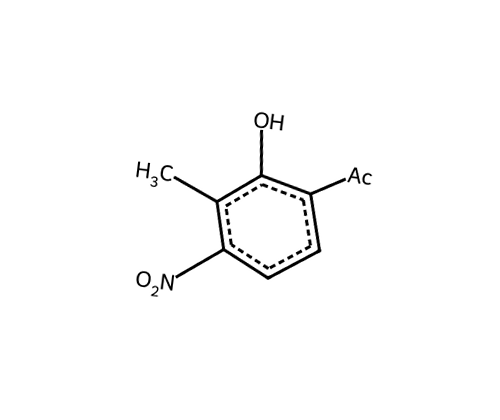 CC(=O)c1ccc([N+](=O)[O-])c(C)c1O